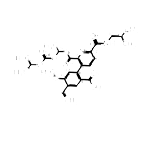 C=Cc1cc(C(=O)O)c(-c2ccc(C(=O)NCC(C)C)nc2C(=O)OC(C)OC(=O)OC(C)C)cc1OC